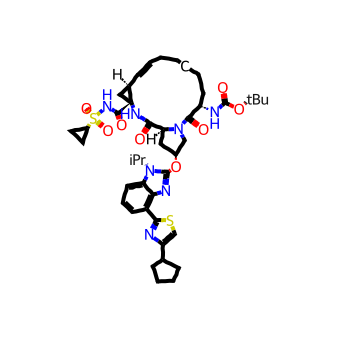 CC(C)n1c(O[C@@H]2C[C@H]3C(=O)N[C@]4(C(=O)NS(=O)(=O)C5CC5)C[C@H]4/C=C\CCCCC[C@H](NC(=O)OC(C)(C)C)C(=O)N3C2)nc2c(-c3nc(C4CCCC4)cs3)cccc21